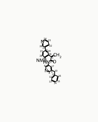 C=C(C(=O)Nc1cncc(Cc2ccccc2)c1)c1cc(-c2cccnc2)ccc1NC